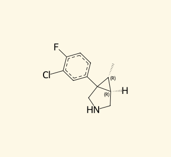 C[C@@H]1[C@H]2CNCC12c1ccc(F)c(Cl)c1